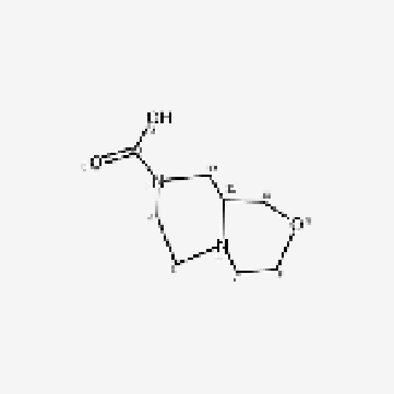 O=C(O)N1CCN2CCOCC2C1